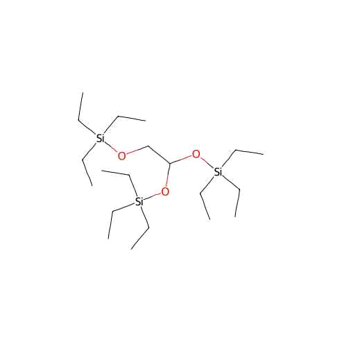 CC[Si](CC)(CC)OCC(O[Si](CC)(CC)CC)O[Si](CC)(CC)CC